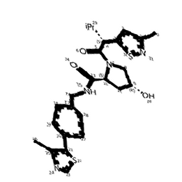 Cc1cc([C@H](C(=O)N2C[C@H](O)C[C@H]2C(=O)NCc2ccc(-c3scnc3C)cc2)C(C)C)sn1